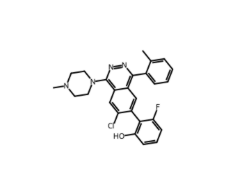 Cc1ccccc1-c1nnc(N2CCN(C)CC2)c2cc(Cl)c(-c3c(O)cccc3F)cc12